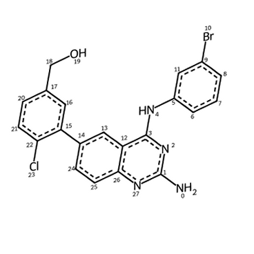 Nc1nc(Nc2cccc(Br)c2)c2cc(-c3cc(CO)ccc3Cl)ccc2n1